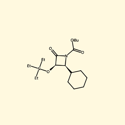 CC[Si](CC)(CC)O[C@H]1C(=O)N(C(=O)OCC(C)C)[C@H]1C1CCCCC1